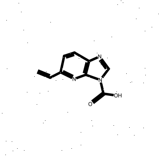 C=Cc1ccc2ncn(C(=O)O)c2n1